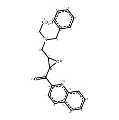 CCOC(=O)CN(Cc1ccccc1)CC1OC1C(=O)c1ccc2ccccc2n1